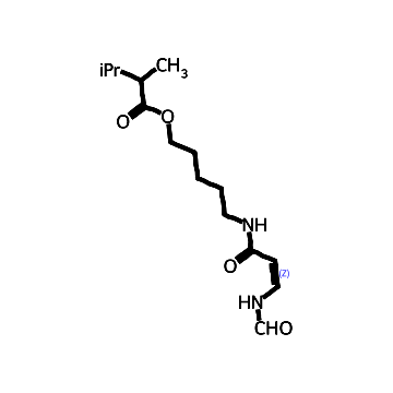 CC(C)C(C)C(=O)OCCCCCNC(=O)/C=C\NC=O